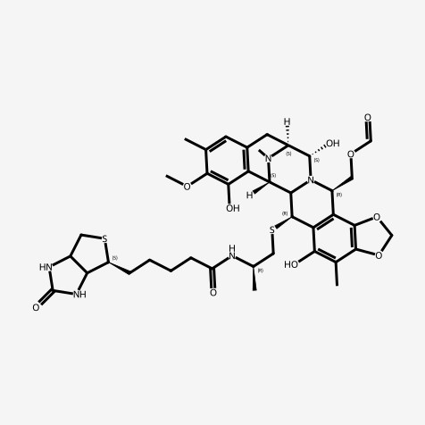 COc1c(C)cc2c(c1O)[C@H]1C3[C@H](SC[C@@H](C)NC(=O)CCCC[C@@H]4SCC5NC(=O)NC54)c4c(O)c(C)c5c(c4[C@H](COC=O)N3[C@@H](O)[C@H](C2)N1C)OCO5